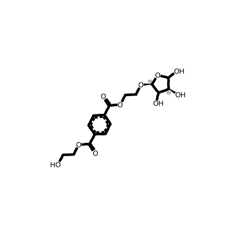 O=C(OCCO)c1ccc(C(=O)OCCO[C@H]2OC(O)[C@@H](O)C2O)cc1